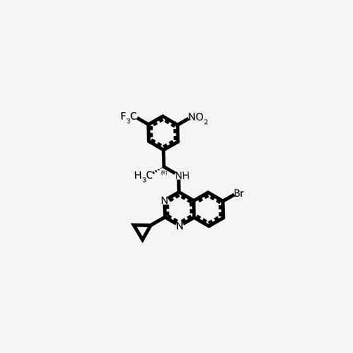 C[C@@H](Nc1nc(C2CC2)nc2ccc(Br)cc12)c1cc([N+](=O)[O-])cc(C(F)(F)F)c1